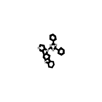 c1ccc(-c2nc(-c3ccccc3)nc(-n3c4ccncc4c4cc5sc6c(c5cc43)CCCC6)n2)cc1